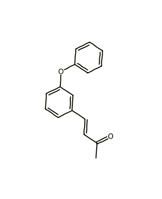 CC(=O)C=Cc1cccc(Oc2ccccc2)c1